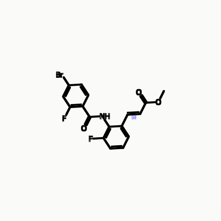 COC(=O)/C=C/c1cccc(F)c1NC(=O)c1ccc(Br)cc1F